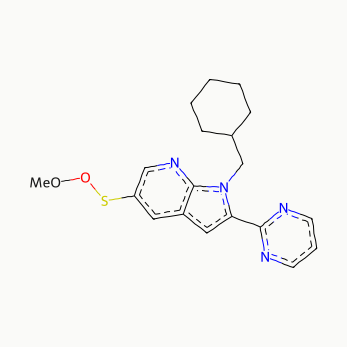 COOSc1cnc2c(c1)cc(-c1ncccn1)n2CC1CCCCC1